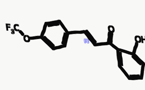 O=C(/C=C/c1ccc(OC(F)(F)F)cc1)c1ccccc1O